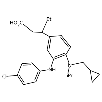 CCC(CC(=O)O)c1ccc(N(CC2CC2)C(C)C)c(Nc2ccc(Cl)cc2)c1